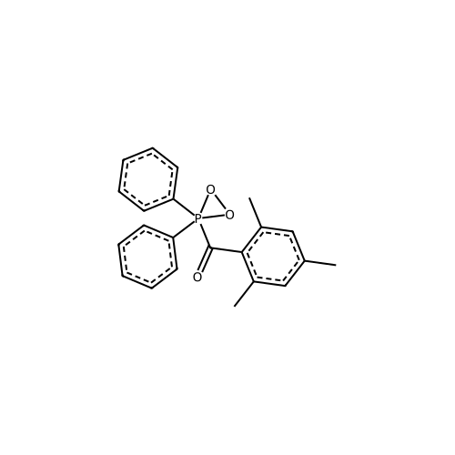 Cc1cc(C)c(C(=O)P2(c3ccccc3)(c3ccccc3)OO2)c(C)c1